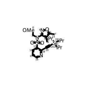 COCN(c1noc(C)c1C)S(=O)(=O)c1cccnc1C#C[Si](C(C)C)(C(C)C)C(C)C